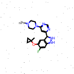 CCCN1CCN(c2cc(C3NNc4cc(F)c(OC5(C)CC5)cc43)ncn2)CC1